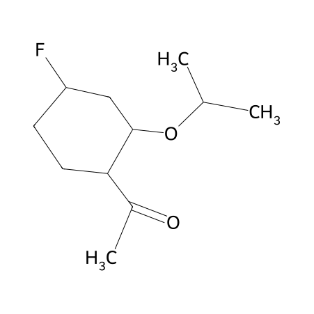 CC(=O)C1CCC(F)CC1OC(C)C